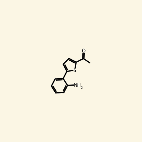 CC(=O)c1ccc(-c2ccccc2N)s1